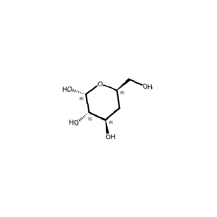 OC[C@H]1C[C@@H](O)[C@H](O)[C@H](O)O1